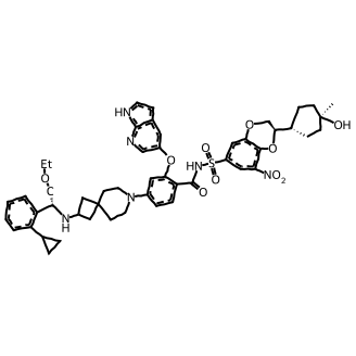 CCOC[C@H](NC1CC2(CCN(c3ccc(C(=O)NS(=O)(=O)c4cc5c(c([N+](=O)[O-])c4)O[C@H]([C@H]4CC[C@](C)(O)CC4)CO5)c(Oc4cnc5[nH]ccc5c4)c3)CC2)C1)c1ccccc1C1CC1